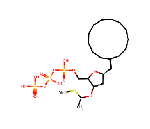 CSS[C@H](C)OC1C[C@H](CC2CCCCCCCCCCCC2)O[C@@H]1COP(=O)(O)OP(=O)(O)OP(=O)(O)O